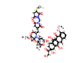 COc1cccc2c1C(=O)c1c(O)c3c(c(O)c1C2=O)C[C@@](O)(C(=O)CO)C[C@@H]3O[C@H]1C[C@H]2[C@H](O[C@@H]3[C@@H](OC)OCC(CC4CC(=O)N(CN5C(=O)CC(SC)C5=O)C4=O)N32)[C@H](C)O1